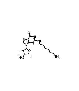 C[C@@H]1[C@H](O)[C@@H](C)O[C@H]1n1cnc2c(=O)[nH]c(NCCCCCCN)nc21